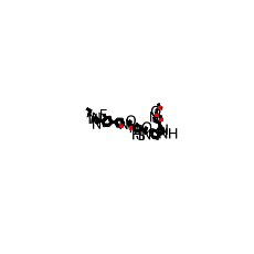 CCCn1cnc(-c2ccc(C3=CCN(C(=O)CN4CC[C@@](SC)(C(=O)Nc5ccc6[nH]nc(-c7ccc(OC(C)C)nc7)c6c5)C4)CC3)cc2F)n1